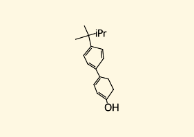 CC(C)C(C)(C)c1ccc(C2=CC=C(O)CC2)cc1